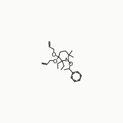 C=CCOC1(OCC=C)CCC(C)(C)N(OC(C)c2ccccc2)C1(CC)CC